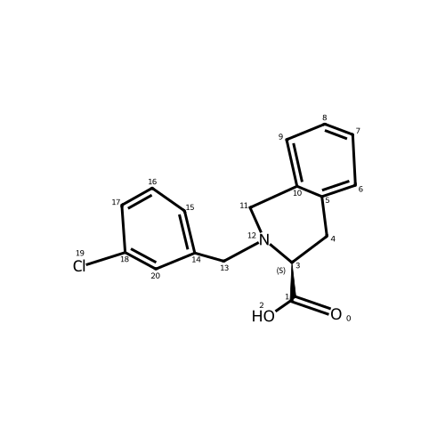 O=C(O)[C@@H]1Cc2ccccc2CN1Cc1cccc(Cl)c1